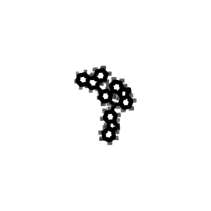 c1ccc2c(c1)cc(-c1ccc(N(c3ccc4c(c3)sc3ccccc34)c3cccc4oc5ccccc5c34)cc1)c1ccccc12